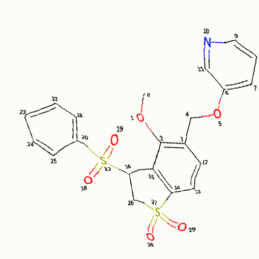 COc1c(COc2cccnc2)ccc2c1C(S(=O)(=O)c1ccccc1)CS2(=O)=O